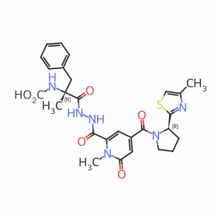 Cc1csc([C@H]2CCCN2C(=O)c2cc(C(=O)NNC(=O)[C@@](C)(Cc3ccccc3)NC(=O)O)n(C)c(=O)c2)n1